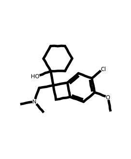 COc1cc2c(cc1Cl)C(CN(C)C)(C1(O)CCCCC1)C2